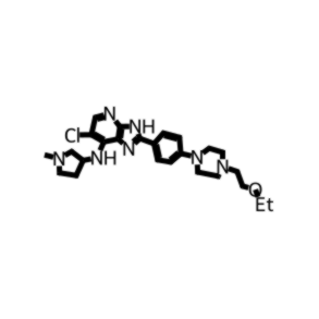 CCOCCN1CCN(c2ccc(-c3nc4c(NC5CCN(C)C5)c(Cl)cnc4[nH]3)cc2)CC1